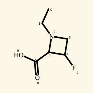 CCN1CC(F)C1C(=O)O